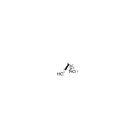 CC.Cl.Cl.P